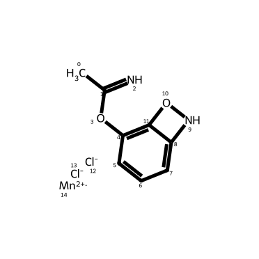 CC(=N)Oc1cccc2[nH]oc12.[Cl-].[Cl-].[Mn+2]